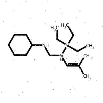 CC[Si](CC)(CC)[SiH](C=C(C)C)CNC1CCCCC1